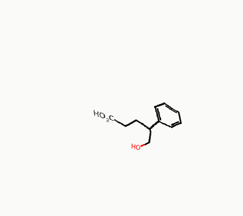 O=C(O)CCC(CO)c1ccccc1